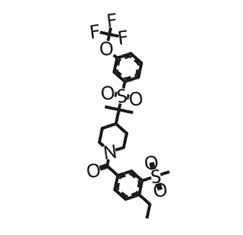 CCc1ccc(C(=O)N2CCC(C(C)(C)S(=O)(=O)c3cccc(OC(F)(F)F)c3)CC2)cc1S(C)(=O)=O